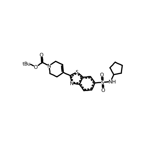 CC(C)(C)OC(=O)N1CC=C(c2nc3ccc(S(=O)(=O)NC4CCCC4)cc3s2)CC1